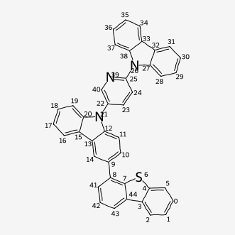 c1ccc2c(c1)sc1c(-c3ccc4c(c3)c3ccccc3n4-c3ccc(-n4c5ccccc5c5ccccc54)nc3)cccc12